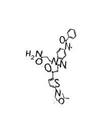 C[C@@H]1CN(c2ccc(C(=O)Cc3nc4cc(N(C)C(=O)c5ccccc5)ccc4n3CCC(N)=O)s2)C[C@@H](C)O1